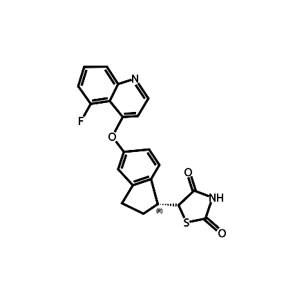 O=C1NC(=O)C([C@@H]2CCc3cc(Oc4ccnc5cccc(F)c45)ccc32)S1